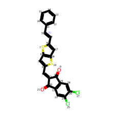 O=C1C(=Cc2cc3sc(/C=C/c4ccccc4)cc3s2)C(=O)c2cc(Cl)c(Cl)cc21